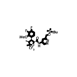 COc1c([C@H]2[C@H](C(=O)Nc3cnnc(CO[Si](C)(C)C(C)(C)C)c3)O[C@@](C)(C(F)(F)F)[C@H]2C)ccc(F)c1F